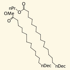 CCCCCCCCCCCCCCCCCCCCCCC(=O)OC.CCCCCCCCCCCCCCCCCCCCCCCCC(=O)OCCC